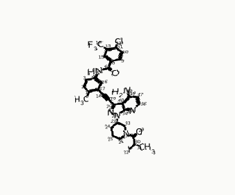 Cc1ccc(NC(=O)c2ccc(Cl)c(C(F)(F)F)c2)cc1C#Cc1nn([C@@H]2CCCN(C(=O)[C@@H](C)I)C2)c2nccc(N)c12